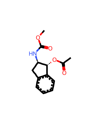 COC(=O)N[C@@H]1Cc2ccccc2[C@H]1OC(C)=O